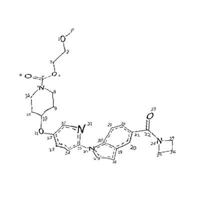 COCCOC(=O)N1CCC(Oc2ccc(-n3ccc4cc(C(=O)N5CCC5)ccc43)nc2)CC1